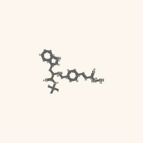 CC(C)(C)OC(=O)C(Cc1c[nH]c2ccccc12)NCc1ccc(/C=C/C(=O)NO)cc1